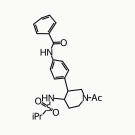 CC(=O)N1CCC(NS(=O)(=O)C(C)C)C(c2ccc(NC(=O)c3ccccc3)cc2)C1